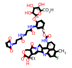 CC[C@@]1(O)C(=O)OCc2c1cc1n(c2=O)Cc2c-1nc1cc(F)c(C)c3c1c2[C@@H](NC(=O)OCc1ccc(O[C@@H]2OC(C(=O)O)[C@@H](O)[C@H](O)C2O)c(NC(=O)CCNC(=O)CCN2C(=O)C=CC2=O)c1)CC3